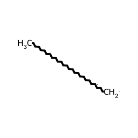 [CH2]CCC[CH]CCCCCCCCCCCCCCCCCCCCCCC